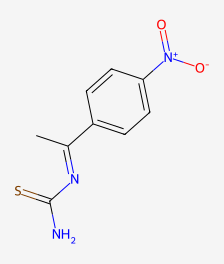 CC(=NC(N)=S)c1ccc([N+](=O)[O-])cc1